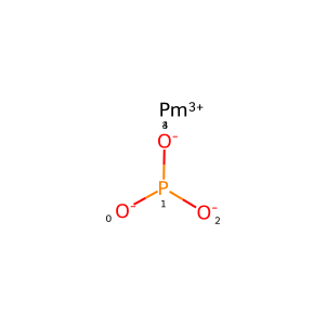 [O-]P([O-])[O-].[Pm+3]